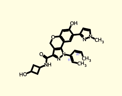 C/C=C\C(=C/C)n1nc(C(=O)NC2CC(O)C2)c2c1-c1cc(-c3ccn(C)n3)c(O)cc1OC2